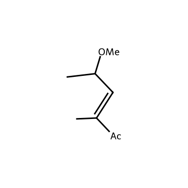 COC(C)C=C(C)C(C)=O